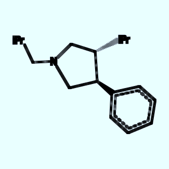 CC(C)CN1C[C@H](c2ccccc2)[C@@H](C(C)C)C1